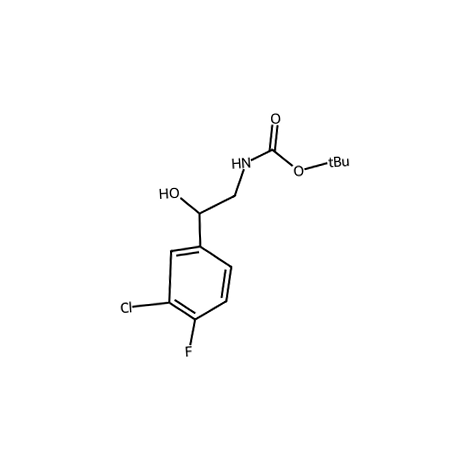 CC(C)(C)OC(=O)NCC(O)c1ccc(F)c(Cl)c1